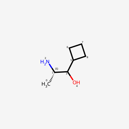 C[C@H](N)C(O)C1CCC1